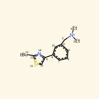 CCN(CC)Cc1cccc(-c2csc(C(C)(C)C)n2)c1